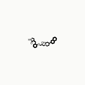 O=C1NCC/C1=C/c1ccccc1OC[C@H](O)CN1CCC(c2ccc3ccccc3c2)CC1